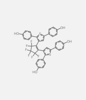 Oc1ccc(-c2cc(C3=C(c4cc(-c5ccc(O)cc5)sc4-c4ccc(O)cc4)C(F)(F)C(F)(F)C3(F)F)c(-c3ccc(O)cc3)s2)cc1